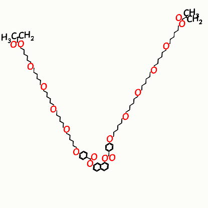 C=C(C)C(=O)OCCCCCCOCCCCCCOCCCCCCOCCCCCCOCCCCCCOc1ccc(C(=O)Oc2ccc3cccc(OC(=O)c4ccc(OCCCCCCOCCCCCCOCCCCCCOCCCCCCOCCCCCCOC(=O)C(=C)C)cc4)c3c2)cc1